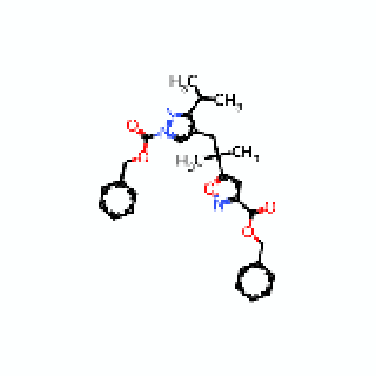 CC(C)c1nn(C(=O)OCc2ccccc2)cc1CC(C)(C)c1cc(C(=O)OCc2ccccc2)no1